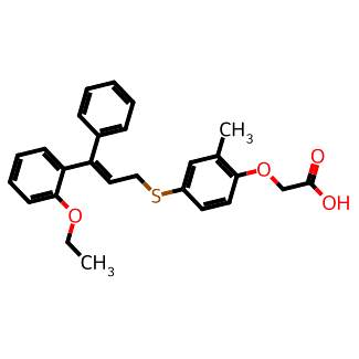 CCOc1ccccc1C(=CCSc1ccc(OCC(=O)O)c(C)c1)c1ccccc1